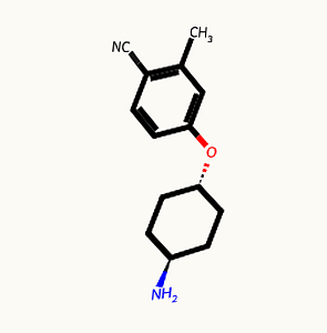 Cc1cc(O[C@H]2CC[C@H](N)CC2)ccc1C#N